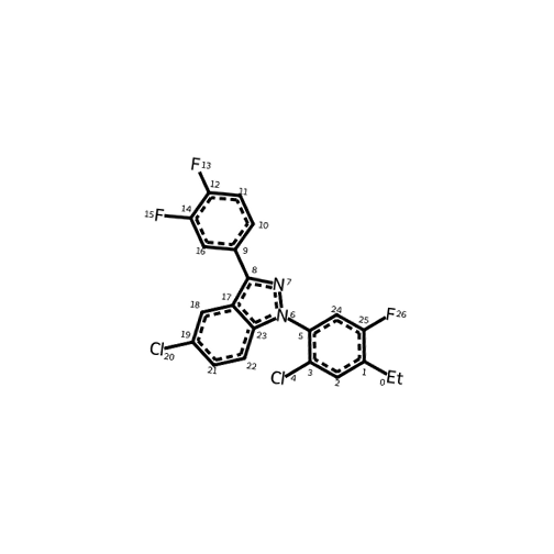 CCc1cc(Cl)c(-n2nc(-c3ccc(F)c(F)c3)c3cc(Cl)ccc32)cc1F